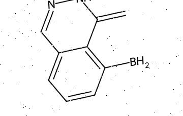 Bc1cccc2c1C(=C)NN=C2